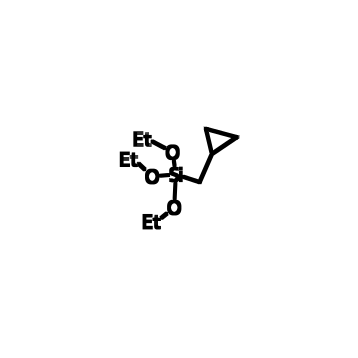 CCO[Si](CC1CC1)(OCC)OCC